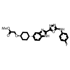 COC(=O)CO[C@H]1CC[C@H](c2ccc3[nH]c(-c4nnc(Nc5ccc(F)cc5)o4)nc3c2)CC1